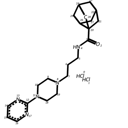 Cl.Cl.O=C(NCCCN1CCN(c2ncccn2)CC1)C12CC3CC(CC1C3)C2